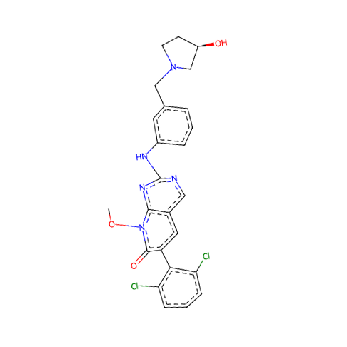 COn1c(=O)c(-c2c(Cl)cccc2Cl)cc2cnc(Nc3cccc(CN4CC[C@@H](O)C4)c3)nc21